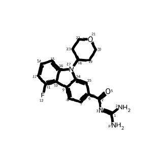 NC(N)=NC(=O)c1ccc2c3c(F)cccc3n(C3CCOCC3)c2c1